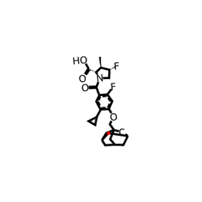 C[C@H]1[C@H](F)CN(C(=O)c2cc(C3CC3)c(OCC34CC5CC(CC(C5)C3)C4)cc2F)[C@@H]1C(=O)O